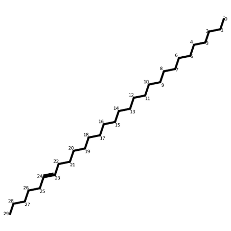 [CH2]CCCCCCCCCCCCCCCCCCCCCC/C=C/CCCCC